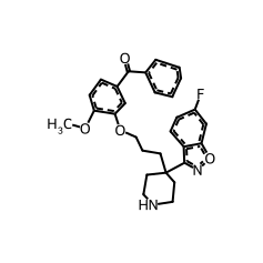 COc1ccc(C(=O)c2ccccc2)cc1OCCCC1(c2noc3cc(F)ccc23)CCNCC1